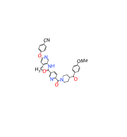 COc1ccc(C(=O)C2CCN(C(=O)c3ccc(C(=O)Nc4cnc(Oc5ccc(C#N)cc5)cc4C)cn3)CC2)cc1